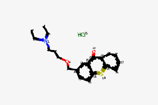 CCN(CC)CCCOCc1ccc2sc3ccccc3c(=O)c2c1.Cl